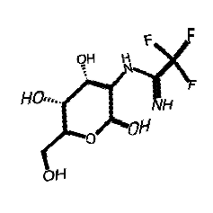 N=C(NC1C(O)OC(CO)[C@H](O)[C@@H]1O)C(F)(F)F